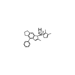 CC1=CCC([SiH2]C2C(C)=Cc3c2cc2c(c3-c3ccccc3)CCC2)=C1C